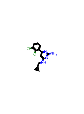 Nc1nc(NCC2CC2)cc(-c2cccc(Cl)c2Cl)n1